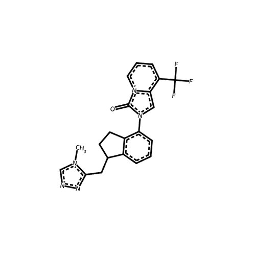 Cn1cnnc1CC1CCc2c1cccc2-n1cc2c(C(F)(F)F)cccn2c1=O